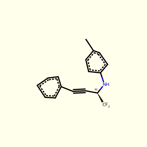 Cc1ccc(N[C@H](C#Cc2ccccc2)C(F)(F)F)cc1